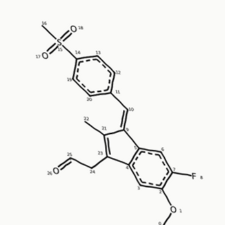 COc1cc2c(cc1F)C(=Cc1ccc(S(C)(=O)=O)cc1)C(C)=C2C[C]=O